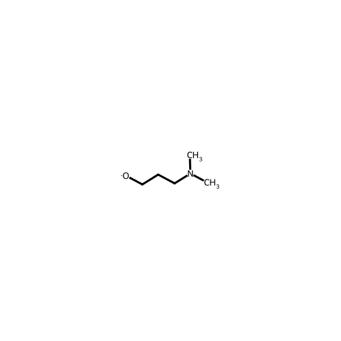 CN(C)CCC[O]